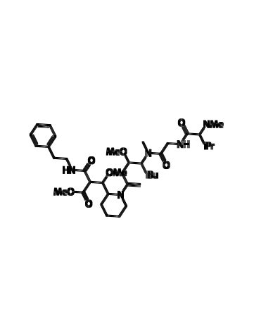 C=C(CC(OC)C(C(C)CC)N(C)C(=O)CNC(=O)C(NC)C(C)C)N1CCCCC1C(OC)C(C(=O)NCCc1ccccc1)C(=O)OC